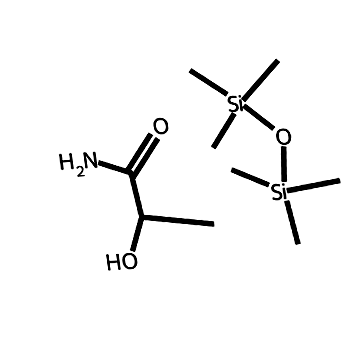 CC(O)C(N)=O.C[Si](C)(C)O[Si](C)(C)C